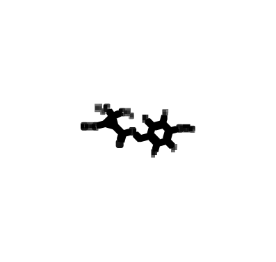 COc1c(F)c(F)c(COC(=O)C2C(C=O)C2(C)C)c(F)c1F